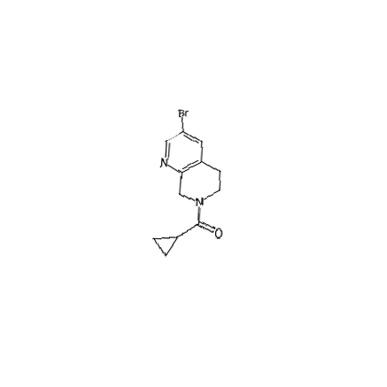 O=C(C1CC1)N1CCc2cc(Br)cnc2C1